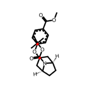 COC(=O)c1ccc(O[C@H]2C[C@H]3CC[C@@H](C2)N3C(=O)OC(C)(C)C)cc1